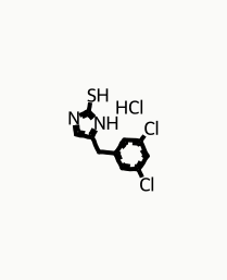 Cl.Sc1ncc(Cc2cc(Cl)cc(Cl)c2)[nH]1